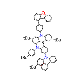 CC(C)(C)c1ccc(N(c2ccc3c(c2)N(c2ccc(C(C)(C)C)cc2)c2cc(C(C)(C)C)cc4c2B3c2cc(C(C)(C)C)ccc2N4c2ccc(-c3cccc4oc5ccccc5c34)cc2)c2ccccc2-c2ccccc2)cc1